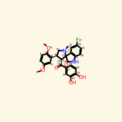 COc1ccc(OC)c([C@H]2CN(C)C3(C(=O)Nc4ccc(F)cc43)[C@H]2C(=O)c2ccc(O)c(O)c2)c1